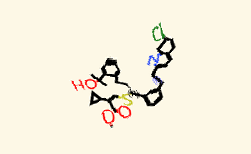 COC(=O)C(CS[C@H](CCc1ccccc1C(C)(C)O)c1cccc(/C=C/c2ccc3ccc(Cl)cc3n2)c1)C1CC1